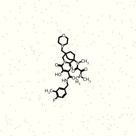 Cc1cc(CNC(=O)c2nc3n(c(=O)c2O)CC2(CN4CCOCC4)CCC3(N(C)C(=O)C(=O)N(C)C)CC2)ccc1F